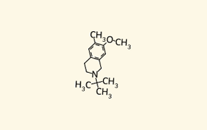 COc1cc2c(cc1C)CCN(C(C)(C)C)C2